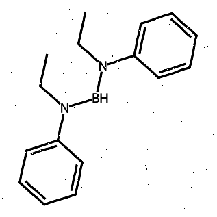 CCN(BN(CC)c1ccccc1)c1ccccc1